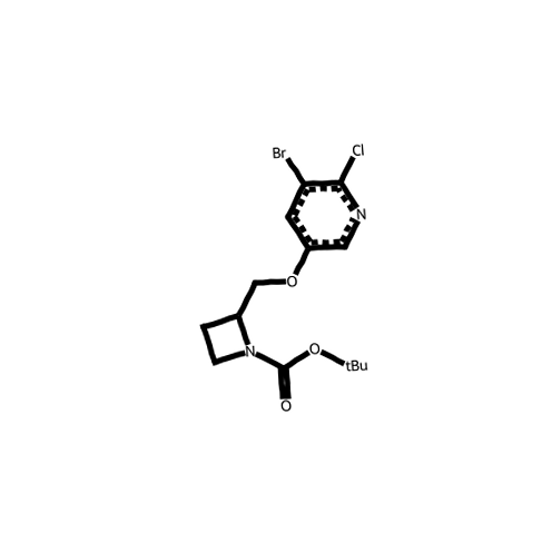 CC(C)(C)OC(=O)N1CCC1COc1cnc(Cl)c(Br)c1